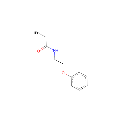 CC(C)CC(=O)NCCOc1ccccc1